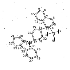 IC(I)(I)c1ccc2ccccc2c1-c1ccc(-n2c3ccccc3c3ccccc32)cc1